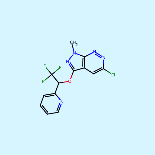 Cn1nc(OC(c2ccccn2)C(F)(F)F)c2cc(Cl)nnc21